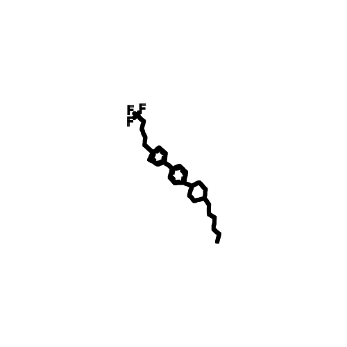 CCCCCCC1CCC(c2ccc(-c3ccc(CCCCC(F)(F)F)cc3)cc2)CC1